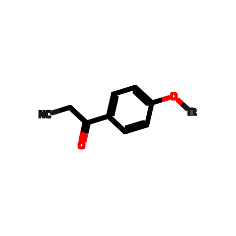 CCOc1ccc(C(=O)CC#N)cc1